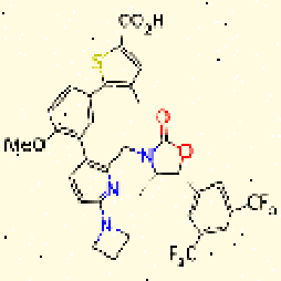 COc1ccc(-c2sc(C(=O)O)cc2C)cc1-c1ccc(N2CCC2)nc1CN1C(=O)O[C@H](c2cc(C(F)(F)F)cc(C(F)(F)F)c2)[C@@H]1C